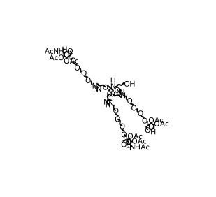 CC(=O)N[C@H]1[C@H]2OC[C@](COCCOCCOCCOCCn3cc(COCC(COCc4cn(CCOCCOCCOCCOC[C@@]56CO[C@@H](O5)[C@H](NC(C)=O)[C@@H](OC(C)=O)[C@H]6OC(C)=O)nn4)(COCc4cn(CCOCCOCCOCCOC[C@]56CO[C@H](C[C@@H](OC(C)=O)[C@H]5OC(C)=O)O6)nn4)NC(=O)CCCO)nn3)(O2)[C@H](OC(C)=O)[C@@H]1OC(C)=O